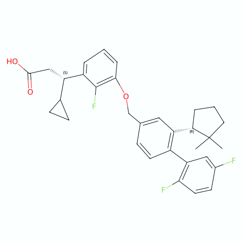 CC1(C)CCC[C@H]1c1cc(COc2cccc([C@@H](CC(=O)O)C3CC3)c2F)ccc1-c1cc(F)ccc1F